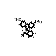 CC(C)(C)c1ccc(C2(c3ccc(C(C)(C)C)cc3)OC(=O)c3ccccc32)cc1